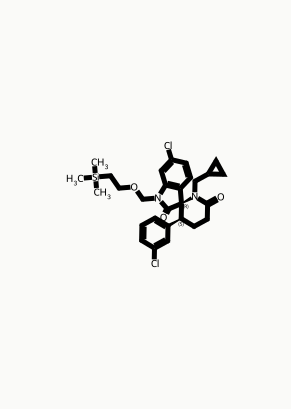 C[Si](C)(C)CCOCN1C(=O)[C@]2(c3ccc(Cl)cc31)[C@H](c1cccc(Cl)c1)CCC(=O)N2CC1CC1